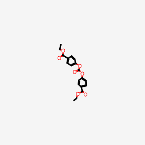 CCOC(=O)c1ccc(OC(=O)Oc2ccc(C(=O)OCC)cc2)cc1